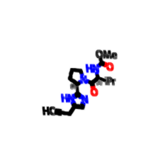 C#CCc1cnc([C@H]2CCCN2C(=O)[C@@H](NC(=O)OC)C(C)C)[nH]1